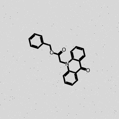 O=C(Cn1c2ccccc2c(=O)c2ccccc21)OCc1ccccc1